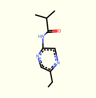 CCc1cnc(NC(=O)C(C)C)cn1